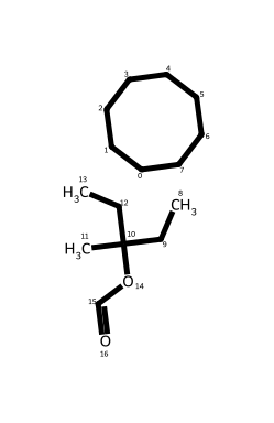 C1CCCCCCC1.CCC(C)(CC)OC=O